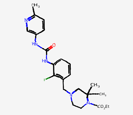 CCOC(=O)N1CCN(Cc2cccc(NC(=O)Nc3ccc(C)nc3)c2F)CC1(C)C